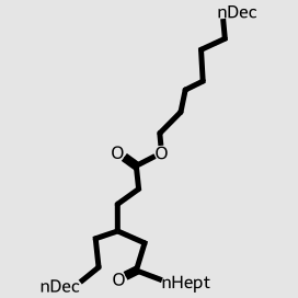 CCCCCCCCCCCCCCCCOC(=O)CCC(CCCCCCCCCCCC)CC(=O)CCCCCCC